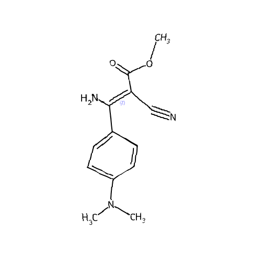 COC(=O)/C(C#N)=C(\N)c1ccc(N(C)C)cc1